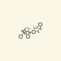 C=C(c1ccc(N2C3=c4c(nc(-c5ccccc5)n4-c4ccccc42)=CCC3C)cc1)C1Sc2ccccc2C1(C)/C=C\C